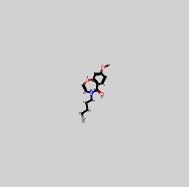 COc1ccc2c(c1)OC=CN(CCCCBr)C2=O